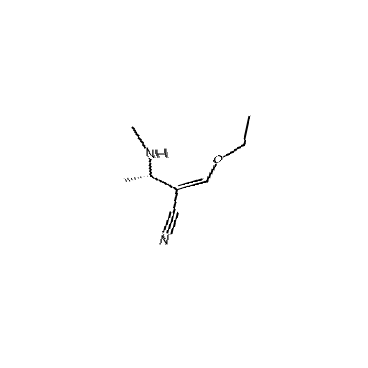 CCO/C=C(/C#N)[C@H](C)NC